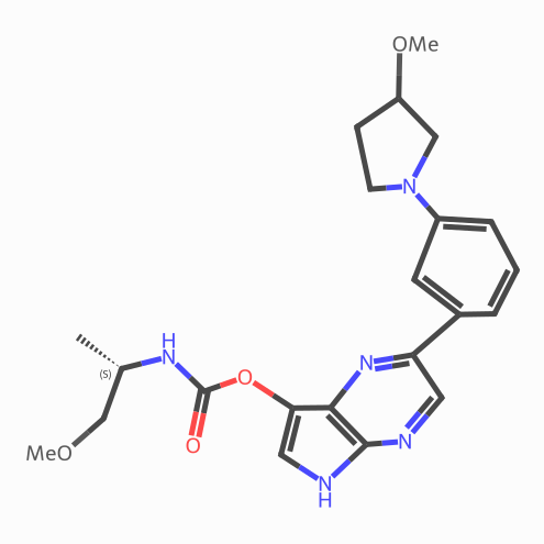 COC[C@H](C)NC(=O)Oc1c[nH]c2ncc(-c3cccc(N4CCC(OC)C4)c3)nc12